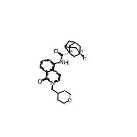 O=C(Nc1cccc2c(=O)n(CC3CCOCC3)ccc12)[C@@]12CC3CC1C[C@H](C3)C2